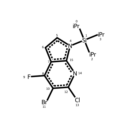 CC(C)[Si](C(C)C)(C(C)C)n1ccc2c(F)c(Br)c(Cl)nc21